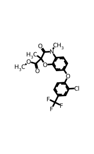 COC(=O)C1(C)Oc2cc(Oc3ccc(C(F)(F)F)cc3Cl)ccc2N(C)C1=O